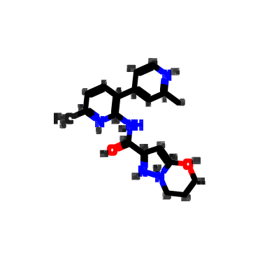 Cc1cc(-c2ccc(C(F)(F)F)nc2NC(=O)c2cc3n(n2)CCCO3)ccn1